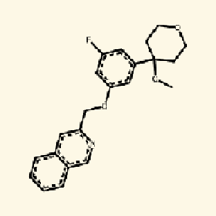 COC1(c2cc(F)cc(OCc3cc4ccccc4cn3)c2)CCOCC1